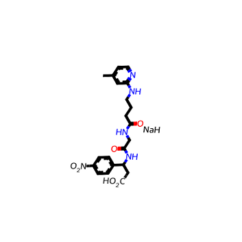 Cc1ccnc(NCCCC(=O)NCC(=O)NC(CC(=O)O)c2ccc([N+](=O)[O-])cc2)c1.[NaH]